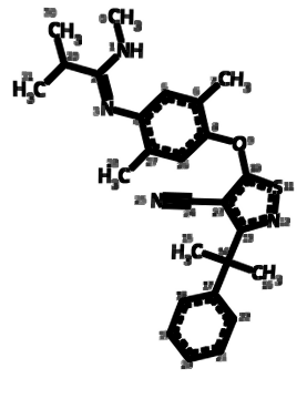 CNC(=Nc1cc(C)c(Oc2snc(C(C)(C)c3ccccc3)c2C#N)cc1C)C(C)C